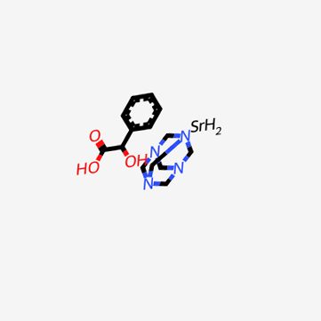 C1N2CN3CN1CN(C2)C3.O=C(O)C(O)c1ccccc1.[SrH2]